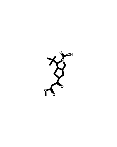 COC(=O)CC(=O)C1CC2CN(C(=O)O)C(C(C)(C)C)C2C1